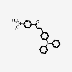 CN(C)c1ccc(C(=O)C=Cc2ccc(N(c3ccccc3)c3ccccc3)cc2)cc1